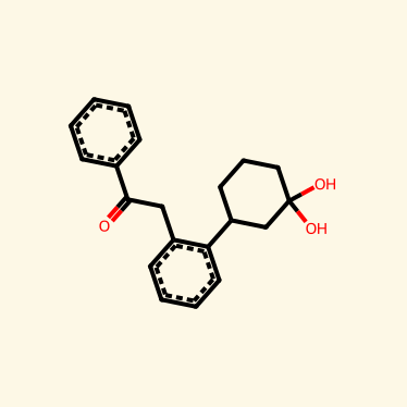 O=C(Cc1ccccc1C1CCCC(O)(O)C1)c1ccccc1